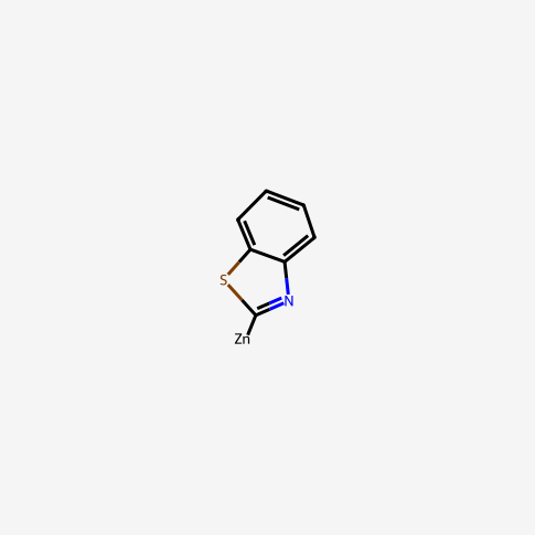 [Zn][c]1nc2ccccc2s1